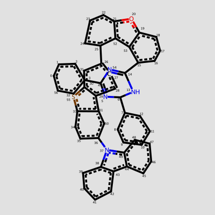 c1ccc(C2=NC(c3ccccc3)NC(c3cccc4oc5cccc(-c6ccc7c(c6)sc6ccc(-n8c9ccccc9c9ccccc98)cc67)c5c34)=N2)cc1